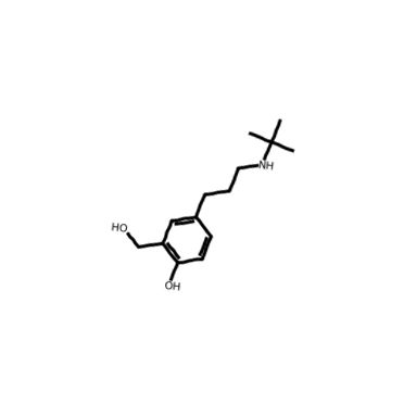 CC(C)(C)NCCCc1ccc(O)c(CO)c1